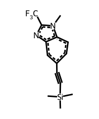 Cn1c(C(F)(F)F)nc2cc(C#C[Si](C)(C)C)ccc21